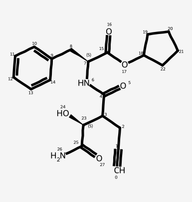 C#CCC(C(=O)N[C@@H](Cc1ccccc1)C(=O)OC1CCCC1)[C@H](O)C(N)=O